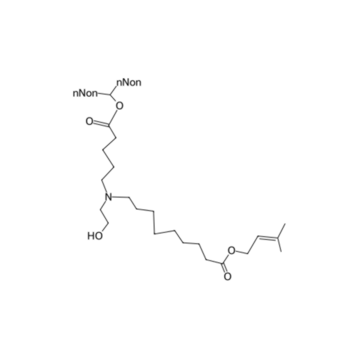 CCCCCCCCCC(CCCCCCCCC)OC(=O)CCCCN(CCO)CCCCCCCCC(=O)OCC=C(C)C